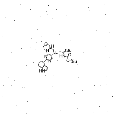 CC(C)(C)OC(=O)NC(CCN1C[C@@H]2COCCN2c2nc(-c3cccc4[nH]ccc34)ncc21)C(C)(C)C